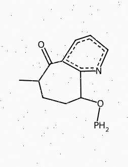 CC1CCC(OP)c2ncccc2C1=O